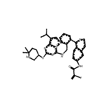 C=C(F)C(=O)Nc1ccc2c(-c3ccccc3CNc3nc(OC4CCC(C)(C)NC4)nc4c(C(C)C)cnn34)nccc2c1